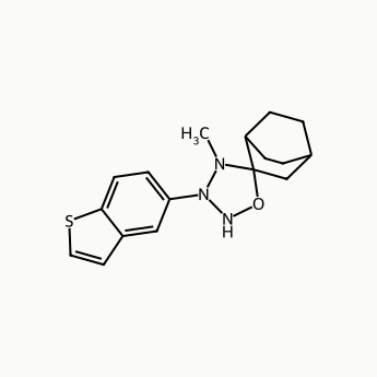 CN1N(c2ccc3sccc3c2)NOC12CC1CCC2CC1